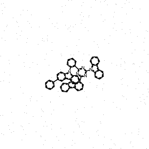 c1ccc(-c2ccc3c(c2)c2ccccc2n3-c2ccccc2-c2nc(-c3cccc4c3sc3ccccc34)nc(-n3c4ccccc4c4ccccc43)n2)cc1